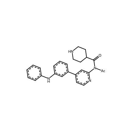 CC(=O)N(C(=O)C1CCNCC1)c1cc(-c2cccc(Nc3ccccc3)c2)ccn1